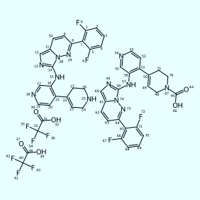 Fc1cccc(F)c1-c1ccc2cnc(Nc3cnccc3C3=CCNCC3)n2n1.O=C(O)C(F)(F)F.O=C(O)C(F)(F)F.O=C(O)N1CC=C(c2ccncc2Nc2ncc3ccc(-c4c(F)cccc4F)nn23)CC1